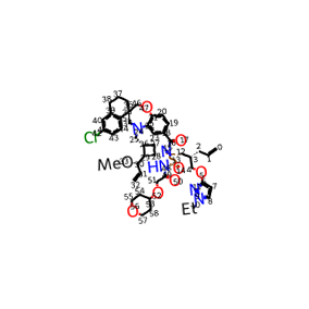 C=CC[C@H](COc1ccn(CC)n1)C[S@@](=O)(=NC(=O)c1ccc2c(c1)N(C[C@@H]1CC[C@H]1[C@H](C=C)OC)C[C@@]1(CCCc3cc(Cl)ccc31)CO2)NC(=O)COC1CCOCC1